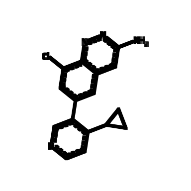 Nc1cc2cc(-c3cnccc3C3CC3)cc(Cl)c2nn1